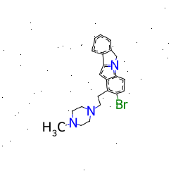 CN1CCN(CCc2c(Br)ccc3c2cc2n3Cc3ccccc3-2)CC1